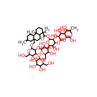 C=C1CCC2C(COC3OC(CO)C(O)C(OC4OC(CO)C(O)C(O)C4O)C3OC3OC(CO)C(O)C(O)C3O)(CCC3C(C)(C(=O)OC4OC(CO)C(O)C(OC5OC(CO)C(O)C(O)C5O)C4OC(O)C(O)C(O)C(O)C(C)I)CCCC23C)C1